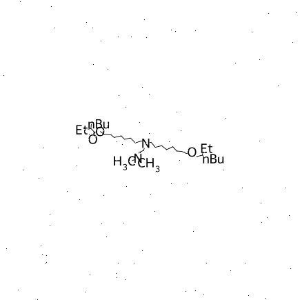 CCCCC(CC)COCCCCCCCCN(CCCCCCCCOC(=O)C(CC)CCCC)CCN(C)C